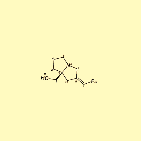 OC[C@@]12CCCN1C/C(=C\F)C2